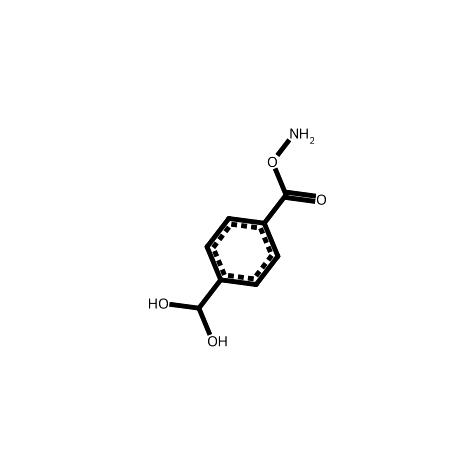 NOC(=O)c1ccc(C(O)O)cc1